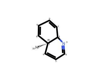 C1=CC2N=CC=C[C@H]2C=C1